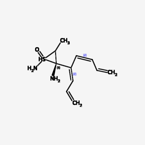 C=C/C=C\C(=C\C=C)[C@@]1(N)C(C)[SH]1(N)=O